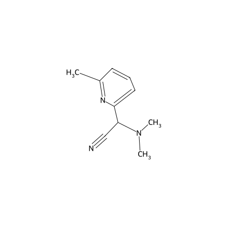 Cc1cccc(C(C#N)N(C)C)n1